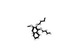 CCCCOc1c(OC)cc2ccccc2c1OCCCC